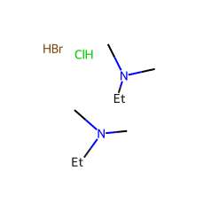 Br.CCN(C)C.CCN(C)C.Cl